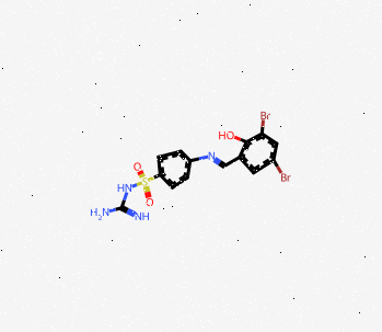 N=C(N)NS(=O)(=O)c1ccc(N=Cc2cc(Br)cc(Br)c2O)cc1